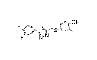 Cc1cc(SCc2nnc(-c3ccc(F)c(F)c3)s2)ccc1O